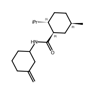 C=C1CCCC(NC(=O)[C@@H]2C[C@H](C)CC[C@H]2C(C)C)C1